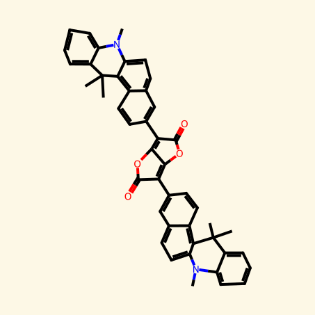 CN1c2ccccc2C(C)(C)c2c1ccc1cc(C3=C4OC(=O)C(c5ccc6c7c(ccc6c5)N(C)c5ccccc5C7(C)C)=C4OC3=O)ccc21